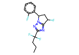 CCCC(F)(F)c1nc2n(n1)C(c1ccccc1F)CC2F